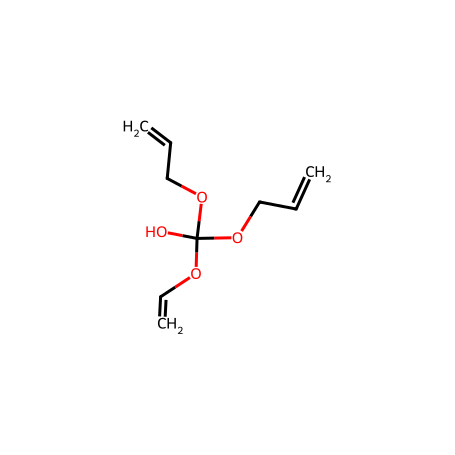 C=CCOC(O)(OC=C)OCC=C